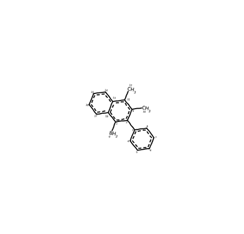 Bc1c(-c2ccccc2)c(C)c(C)c2ccccc12